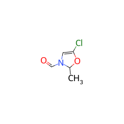 CC1OC(Cl)=CN1C=O